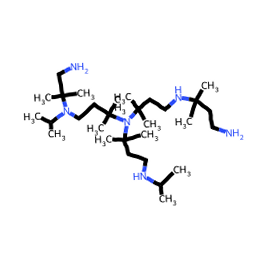 CC(C)NCCC(C)(C)N(C(C)(C)CCNC(C)(C)CCN)C(C)(C)CCN(C(C)C)C(C)(C)CN